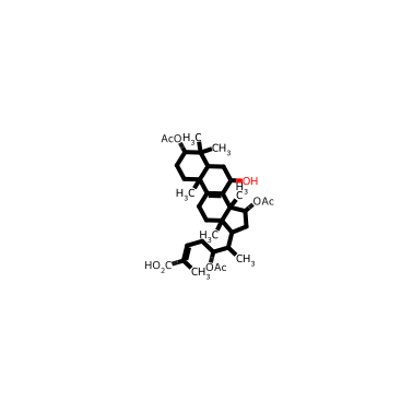 CC(=O)OC(C/C=C(\C)C(=O)O)C(C)C1CC(OC(C)=O)C2(C)C3=C(CCC12C)C1(C)CCC(OC(C)=O)C(C)(C)C1CC3O